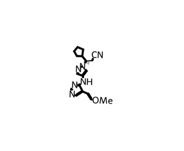 COC=Cc1cncnc1Nc1cnn([C@H](CC#N)C2CCCC2)c1